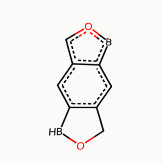 b1occ2cc3c(cc12)COB3